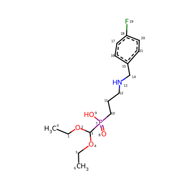 CCOC(OCC)P(=O)(O)CCCNCc1ccc(F)cc1